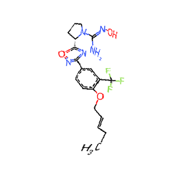 CC/C=C/COc1ccc(-c2noc([C@@H]3CCCN3/C(N)=N/O)n2)cc1C(F)(F)F